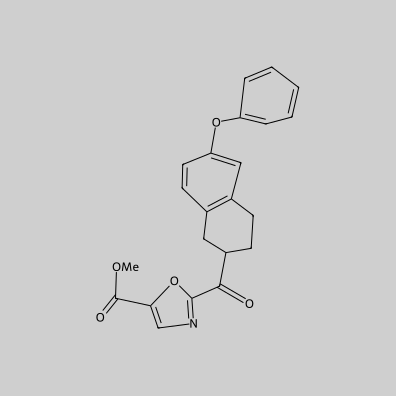 COC(=O)c1cnc(C(=O)C2CCc3cc(Oc4ccccc4)ccc3C2)o1